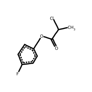 CC(Cl)C(=O)Oc1ccc(F)cc1